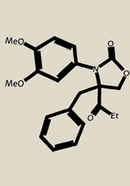 CCC(=O)C1(Cc2ccccc2)COC(=O)N1c1ccc(OC)c(OC)c1